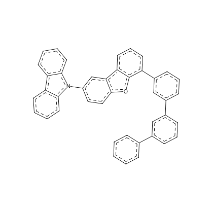 c1ccc(-c2cccc(-c3cccc(-c4cccc5c4oc4ccc(-n6c7ccccc7c7ccccc76)cc45)c3)c2)cc1